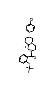 O=C(c1ccccc1OC(F)(F)F)N1CCN2C[C@@H](c3ccc(Cl)cc3)CC[C@@H]2C1